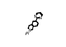 CC(C)N1CCc2cc(-c3ncccn3)ccc2C1